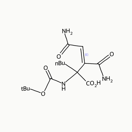 CCCCC(NC(=O)OC(C)(C)C)(C(=O)O)/C(=C\C(N)=O)C(N)=O